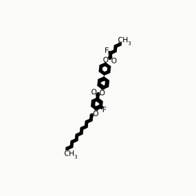 CCCCCCCCCCCCOc1ccc(C(=O)Oc2ccc([C@H]3CC[C@H](OC(=O)[C@@H](F)CCCC)CC3)cc2)cc1F